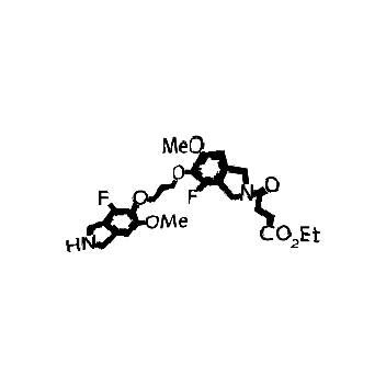 CCOC(=O)CCC(=O)N1Cc2cc(OC)c(OCCCOc3c(OC)cc4c(c3F)CNC4)c(F)c2C1